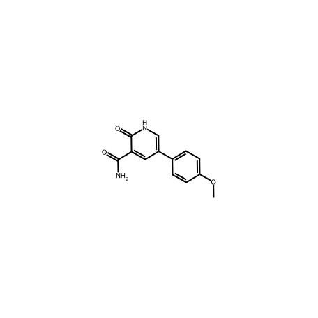 COc1ccc(-c2c[nH]c(=O)c(C(N)=O)c2)cc1